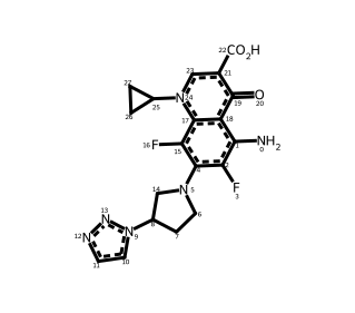 Nc1c(F)c(N2CCC(n3ccnn3)C2)c(F)c2c1c(=O)c(C(=O)O)cn2C1CC1